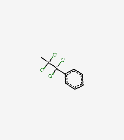 C[Si](Cl)(Cl)[Si](Cl)(Cl)c1ccccc1